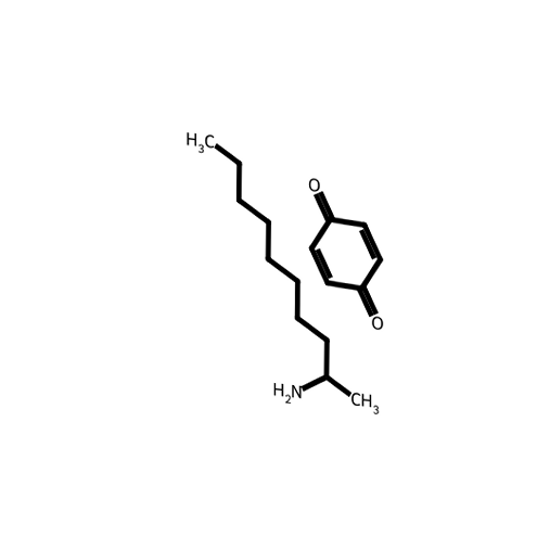 CCCCCCCCC(C)N.O=C1C=CC(=O)C=C1